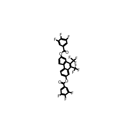 O=C(Oc1ccc2c(c1)c(C(F)(F)F)c(C(F)(F)F)c1cc(OC(=O)c3cc(F)c(F)c(F)c3)ccc12)c1cc(F)c(F)c(F)c1